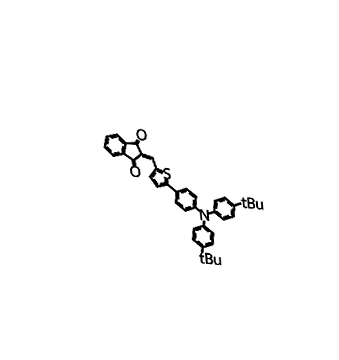 CC(C)(C)c1ccc(N(c2ccc(-c3ccc(C=C4C(=O)c5ccccc5C4=O)s3)cc2)c2ccc(C(C)(C)C)cc2)cc1